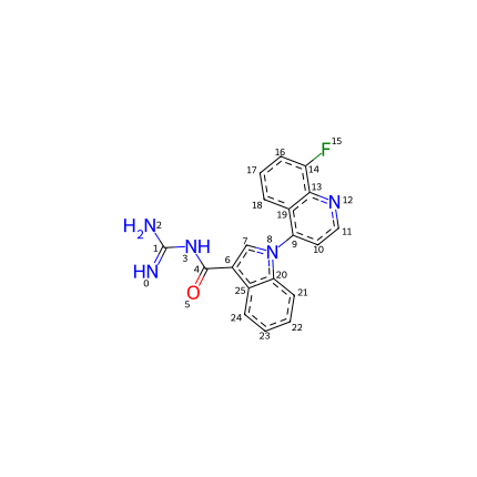 N=C(N)NC(=O)c1cn(-c2ccnc3c(F)cccc23)c2ccccc12